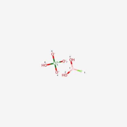 OB(O)F.[O-][Cl+3]([O-])([O-])O